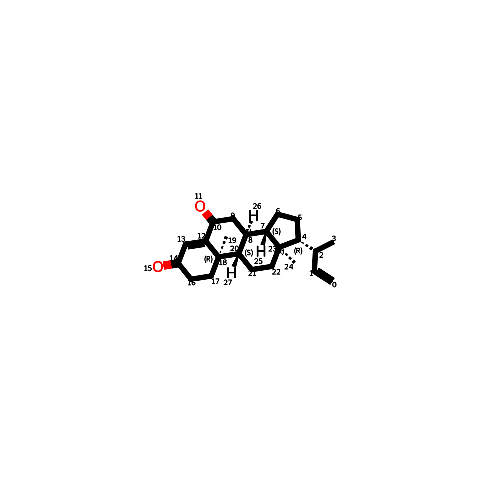 C=CC(C)[C@H]1CC[C@H]2[C@@H]3CC(=O)C4=CC(=O)CC[C@]4(C)[C@H]3CC[C@]12C